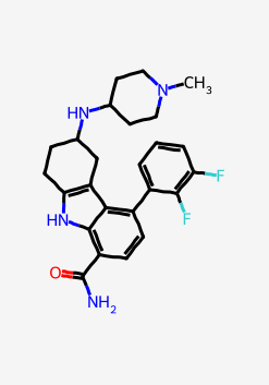 CN1CCC(NC2CCc3[nH]c4c(C(N)=O)ccc(-c5cccc(F)c5F)c4c3C2)CC1